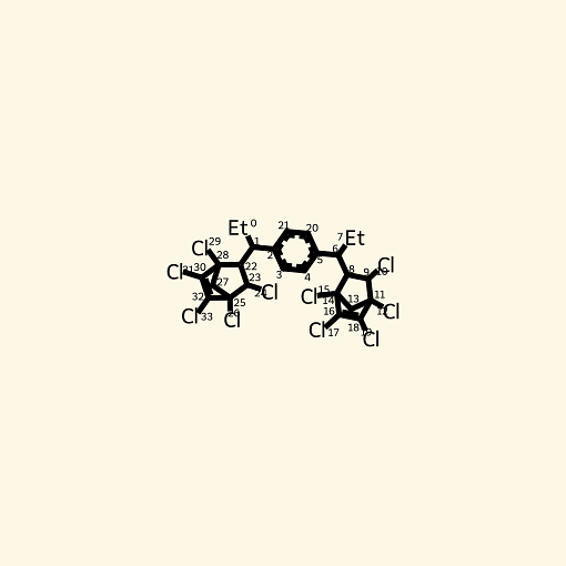 CCC(c1ccc(C(CC)C2C(Cl)C3(Cl)CC2(Cl)C(Cl)=C3Cl)cc1)C1C(Cl)C2(Cl)CC1(Cl)C(Cl)=C2Cl